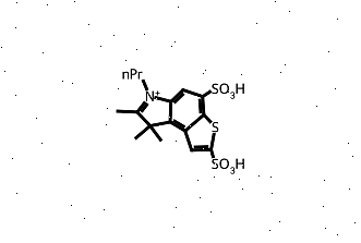 CCC[N+]1=C(C)C(C)(C)c2c1cc(S(=O)(=O)O)c1sc(S(=O)(=O)O)cc21